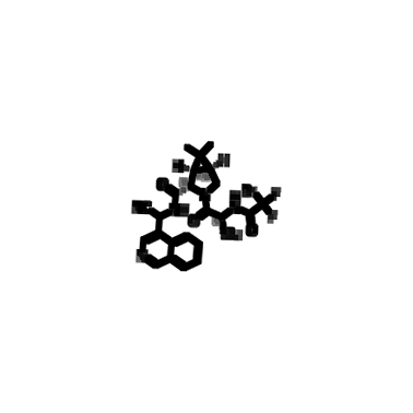 CC(C)(C)[C@H](NC(=O)C(F)(F)Br)C(=O)N1C[C@H]2[C@@H]([C@H]1C(=O)NC(C#N)c1cncc3ccccc13)C2(C)C